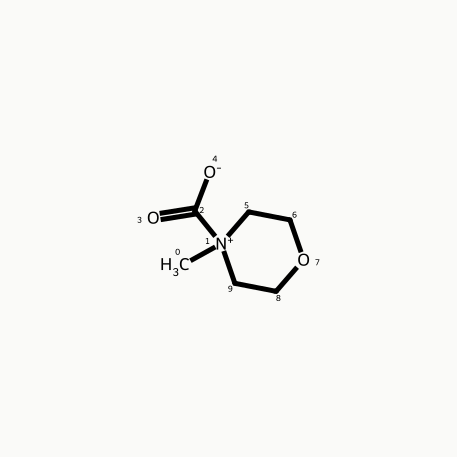 C[N+]1(C(=O)[O-])CCOCC1